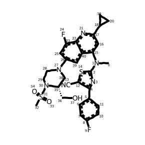 CN(c1nc(-c2ccc(F)cc2)c(C#N)s1)c1cc(C2CC2)nc2c(F)cc(N3CCN(S(C)(=O)=O)[C@@H](CO)C3)cc12